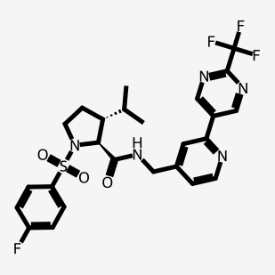 CC(C)[C@H]1CCN(S(=O)(=O)c2ccc(F)cc2)[C@@H]1C(=O)NCc1ccnc(-c2cnc(C(F)(F)F)nc2)c1